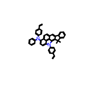 C=Cc1ccc(N(c2ccccc2)c2ccc3c4c2ccc2cc5c(c(c24)n3-c2ccc(C=C)cc2)C(C)(C)c2ccccc2-5)cc1